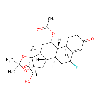 CC(=O)O[C@H]1C[C@@]2(C)[C@@H](C[C@H]3OC(C)(C)O[C@]32C(=O)CO)[C@@H]2C[C@H](F)C3=CC(=O)CC[C@]3(C)[C@H]21